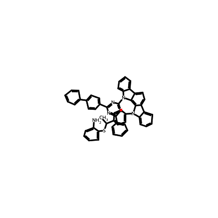 CC(Sc1ccccc1N)c1ccc(-n2c3ccccc3c3ccc4c5ccccc5n(-c5nc(-c6ccccc6)nc(-c6ccc(-c7ccccc7)cc6)n5)c4c32)cc1